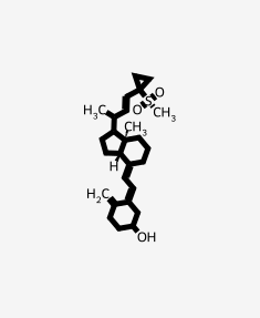 C=C1CCC(O)C/C1=C/C=C1\CCC[C@]2(C)C(C(C)/C=C/C3(S(C)(=O)=O)CC3)CC[C@@H]12